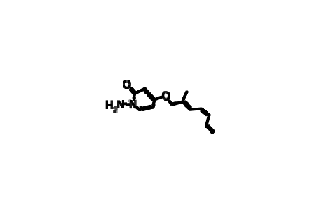 C=C/C=C\C=C(/C)COc1ccn(N)c(=O)c1